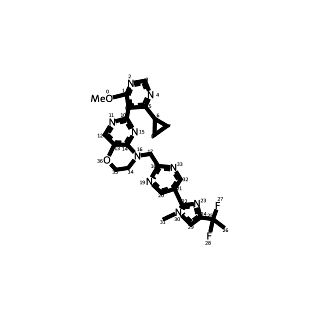 COc1ncnc(C2CC2)c1-c1ncc2c(n1)N(Cc1ncc(-c3nc(C(C)(F)F)cn3C)cn1)CCO2